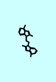 CC1=Cc2c(C)cccc2C1CCC1C(C)=Cc2c(C)cccc21